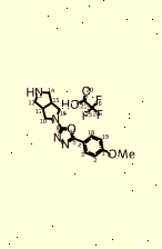 COc1ccc(-c2nnc(N3CC4CNCC4C3)o2)cc1.O=C(O)C(F)(F)F